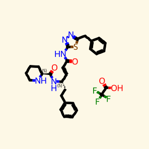 O=C(C=C[C@H](CCc1ccccc1)NC(=O)[C@@H]1CCCCN1)Nc1nnc(Cc2ccccc2)s1.O=C(O)C(F)(F)F